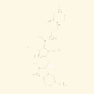 Cc1[nH]c(/C=C2\C(=O)Nc3ccc(C#N)cc32)c(C)c1C(=O)NCCN1CCNCC1=O